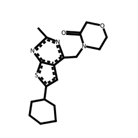 Cc1nc(CN2CCOCC2=O)c2cc(C3CCCCC3)sc2n1